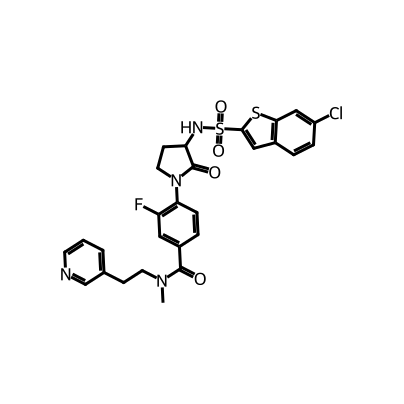 CN(CCc1cccnc1)C(=O)c1ccc(N2CCC(NS(=O)(=O)c3cc4ccc(Cl)cc4s3)C2=O)c(F)c1